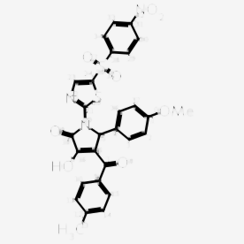 COc1ccc(C2C(C(=O)c3ccc(C)cc3)=C(O)C(=O)N2c2ncc(S(=O)(=O)c3ccc([N+](=O)[O-])cc3)s2)cc1